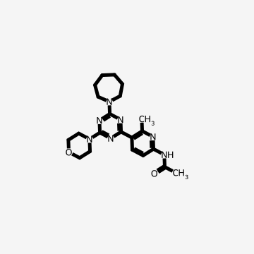 CC(=O)Nc1ccc(-c2nc(N3CCCCCC3)nc(N3CCOCC3)n2)c(C)n1